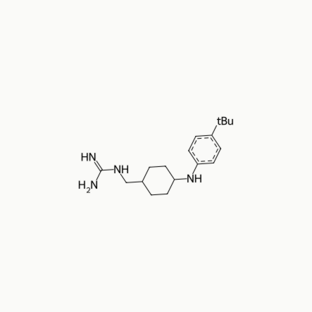 CC(C)(C)c1ccc(NC2CCC(CNC(=N)N)CC2)cc1